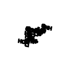 CNC(=O)c1ccc(C)c(-n2c(C)cc(OCc3ccccc3CNC(=O)Nc3cc(C(C)(C)C)nn3-c3ccc(O)c(Cl)c3)c(Cl)c2=O)c1